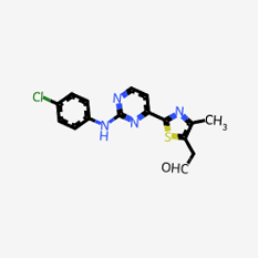 Cc1nc(-c2ccnc(Nc3ccc(Cl)cc3)n2)sc1CC=O